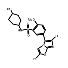 COc1ccc(-c2c(C)nc3sc(C(C)C)cn23)cc1S(=O)(=O)NC1CCC(O)CC1